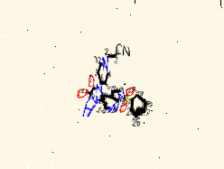 N#CCCN1CCC(n2c(=O)c(=O)[nH]c3cnc4c(ccn4S(=O)(=O)c4ccccc4)c32)CC1